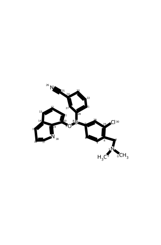 CN(C)Cc1ccc(B(Oc2cccc3cccnc23)c2cccc(C#N)c2)cc1Cl